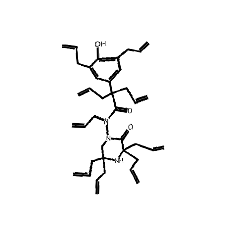 C=CCc1cc(C(CC=C)(CC=C)C(=O)N(CC=C)N2CC(CC=C)(CC=C)NC(CC=C)(CC=C)C2=O)cc(CC=C)c1O